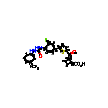 O=C(Nc1cccc(C(F)(F)F)c1)Nc1ccc(-c2ccc(C(=O)[C@@H]3CC[C@H]3C(=O)O)s2)cc1F